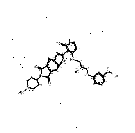 CN1CCC(N2C(=O)c3cc4nc(-c5c(NC[C@@H](O)COc6cccc(SC(F)(F)F)c6)cc[nH]c5=O)[nH]c4cc3C2=O)CC1